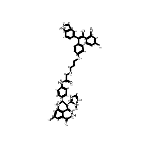 CC/C(=C(/c1ccc(OCCCOCC(=O)Nc2ccc([C@H]3Nc4cc(F)cc5c(=O)[nH]nc(c45)[C@@H]3c3ncnn3C)cc2)cc1)c1ccc2[nH]ncc2c1)c1ccc(F)cc1Cl